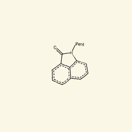 CCCC(C)N1C(=O)c2cccc3cccc1c23